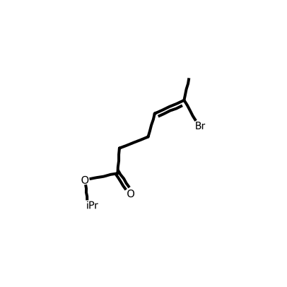 CC(Br)=CCCC(=O)OC(C)C